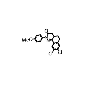 COc1ccc(N2N=C3c4cc(Cl)c(Cl)cc4CCC3CC2=O)cc1